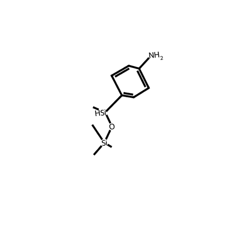 C[SiH](O[Si](C)(C)C)c1ccc(N)cc1